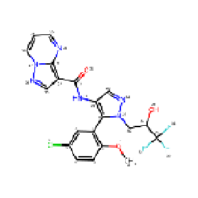 COc1ccc(Cl)cc1-c1c(NC(=O)c2cnn3cccnc23)cnn1CC(O)C(F)(F)F